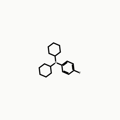 Fc1ccc(P(C2CCCCC2)C2CCCCC2)cc1